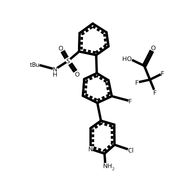 CC(C)(C)NS(=O)(=O)c1ccccc1-c1ccc(-c2cnc(N)c(Cl)c2)c(F)c1.O=C(O)C(F)(F)F